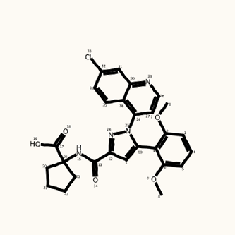 COc1cccc(OC)c1-c1cc(C(=O)NC2(C(=O)O)CCCC2)nn1-c1ccnc2cc(Cl)ccc12